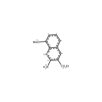 CCOC(=O)c1cc2cccc(OC)c2nc1N